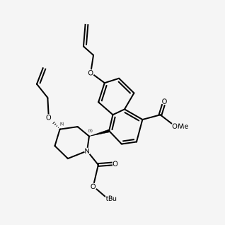 C=CCOc1ccc2c(C(=O)OC)ccc([C@@H]3C[C@@H](OCC=C)CCN3C(=O)OC(C)(C)C)c2c1